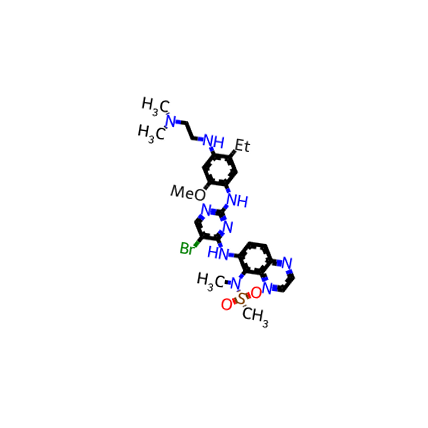 CCc1cc(Nc2ncc(Br)c(Nc3ccc4nccnc4c3N(C)S(C)(=O)=O)n2)c(OC)cc1NCCN(C)C